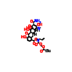 C=CCN(OC(=O)c1ccc(O)c2c1C[C@H]1C[C@H]3[C@H](N(C)C)C(O)=C(C(N)=O)C(=O)[C@@]3(O)C(O)=C1C2=O)C(=O)OCOC(=O)C(C)(C)C